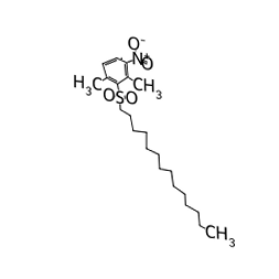 CCCCCCCCCCCCCCS(=O)(=O)c1c(C)c[c]c([N+](=O)[O-])c1C